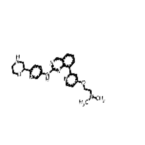 CN(C)CCOc1ccnc(-c2cccc3cnc(Nc4ccc(C5CNCCO5)nc4)nc23)c1